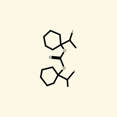 CC(I)C1(OC(=O)OC2(C(C)I)CCCCC2)CCCCC1